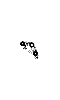 CN(C)c1nc(N[C@H]2CC[C@@H](CNCc3cc4c(cc3[N+](=O)[O-])OCO4)CC2)nc2ccccc12